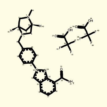 CN1C[C@@H]2C[C@H]1CN2Cc1ccc(-n2cc3cccc(C(N)=O)c3n2)cc1.O=C(O)C(F)(F)F.O=C(O)C(F)(F)F